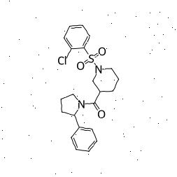 O=C(C1CCCN(S(=O)(=O)c2ccccc2Cl)C1)N1CCCC1c1ccccc1